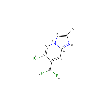 Cc1cn2cc(Br)c(C(F)F)cc2n1